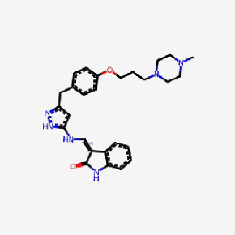 CN1CCN(CCCOc2ccc(Cc3cc(N/C=C4\C(=O)Nc5ccccc54)[nH]n3)cc2)CC1